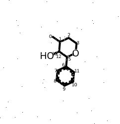 CC1CCOC(c2ccccc2)C1O